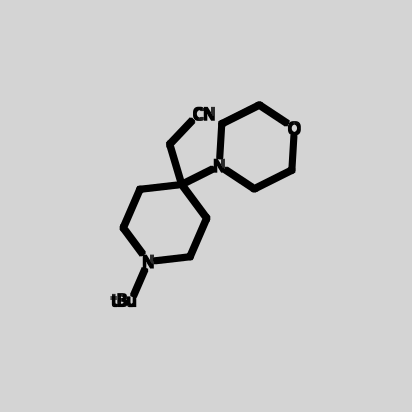 CC(C)(C)N1CCC(CC#N)(N2CCOCC2)CC1